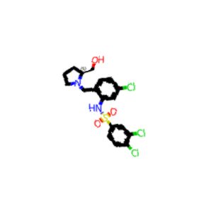 O=S(=O)(Nc1cc(Cl)ccc1CN1CCC[C@H]1CO)c1ccc(Cl)c(Cl)c1